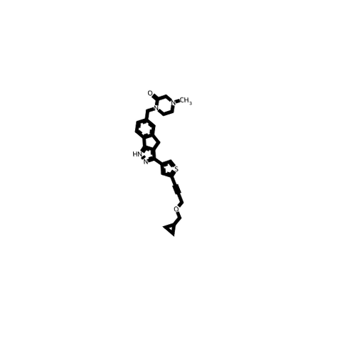 CN1CCN(Cc2ccc3c(c2)Cc2c(-c4csc(C#CCOCC5CC5)c4)n[nH]c2-3)C(=O)C1